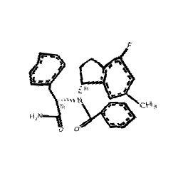 Cc1cc(F)c2c(c1)[C@H](N(C(=O)c1ccccc1)[C@H](C(N)=O)c1ccccc1)CC2